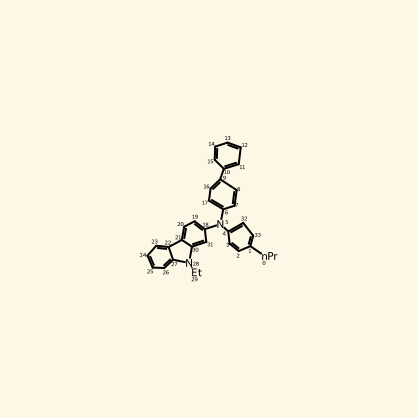 CCCc1ccc(N(c2ccc(-c3ccccc3)cc2)c2ccc3c4ccccc4n(CC)c3c2)cc1